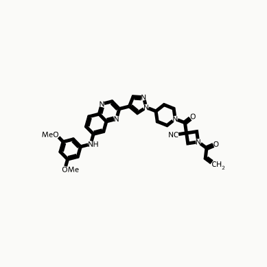 C=CC(=O)N1CC(C#N)(C(=O)N2CCC(n3cc(-c4cnc5ccc(Nc6cc(OC)cc(OC)c6)cc5n4)cn3)CC2)C1